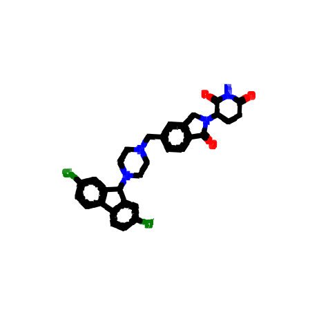 O=C1CCC(N2Cc3cc(CN4CCN(C5c6cc(Cl)ccc6-c6ccc(Cl)cc65)CC4)ccc3C2=O)C(=O)N1